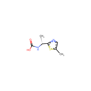 Cc1cnc([C@@H](C)NC(=O)O)s1